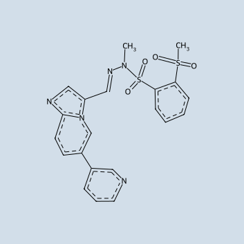 CN(N=Cc1cnc2ccc(-c3cccnc3)cn12)S(=O)(=O)c1ccccc1S(C)(=O)=O